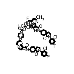 CC(C)(C)OC(=O)N1CCN(c2ccn3ncc(C(=O)NC4CCC5(CC4)CCN(c4ccc(F)cc4Cl)C5=O)c3n2)CC1.Cc1cc(C(F)F)n2ncc(C(=O)NC3CCC4(CC3)CCN(c3ccc(F)cc3Cl)C4=O)c2n1